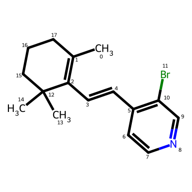 CC1=C(/C=C/c2ccncc2Br)C(C)(C)CCC1